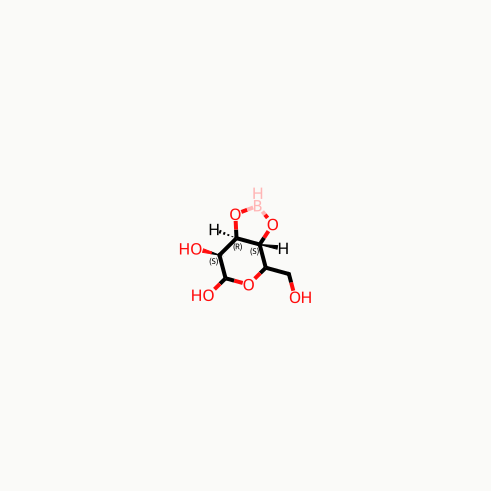 OCC1OC(O)[C@@H](O)[C@H]2OBO[C@H]12